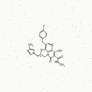 CNC(=O)c1c(O)c2ncc(Cc3ccc(F)cc3)c3c2n(c1=O)C[C@@H](Cn1cnc(C)c1)O3